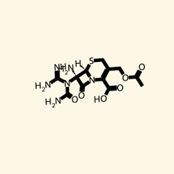 CC(=O)OCC1=C(C(=O)O)N2C(=O)[C@@](N)(N(C(=N)N)C(N)=O)[C@H]2SC1